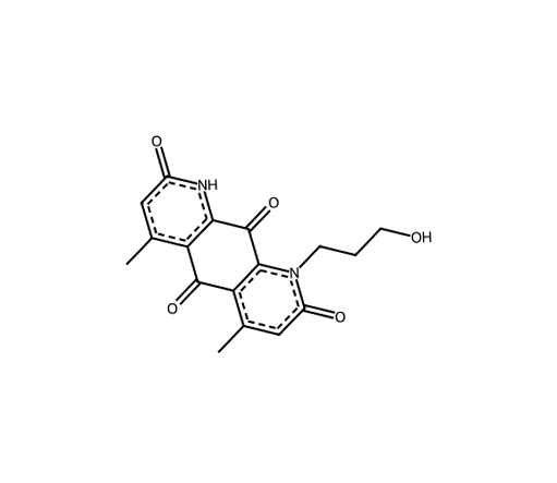 Cc1cc(=O)[nH]c2c1C(=O)c1c(C)cc(=O)n(CCCO)c1C2=O